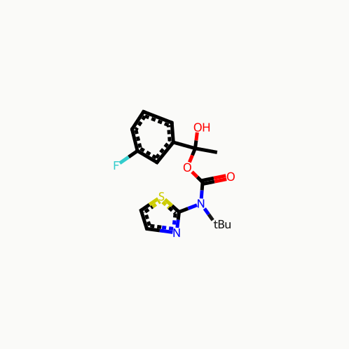 CC(O)(OC(=O)N(c1nccs1)C(C)(C)C)c1cccc(F)c1